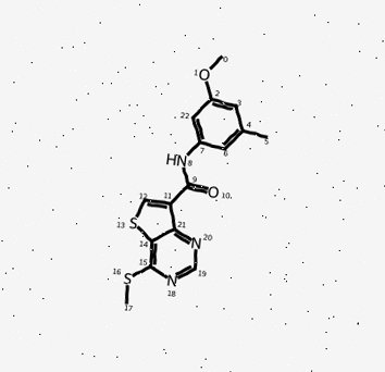 COc1cc(C)cc(NC(=O)c2csc3c(SC)ncnc23)c1